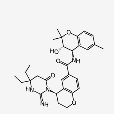 CCC1(CC)CC(=O)N([C@@H]2CCOc3ccc(C(=O)N[C@@H]4c5cc(C)ccc5OC(C)(C)[C@H]4O)cc32)C(=N)N1